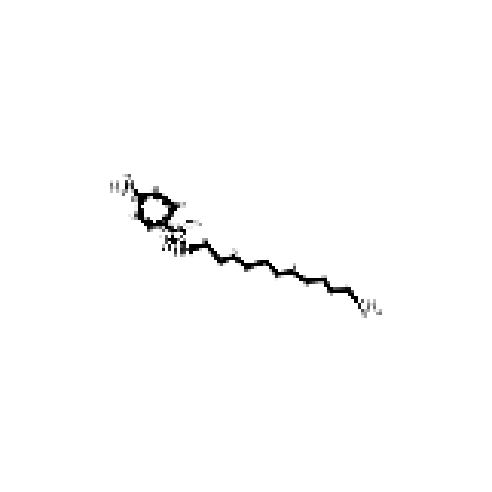 CCCCCCCCCCCCNS(=O)(=O)c1ccc(N)cc1